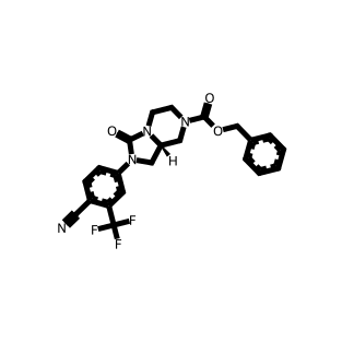 N#Cc1ccc(N2C[C@H]3CN(C(=O)OCc4ccccc4)CCN3C2=O)cc1C(F)(F)F